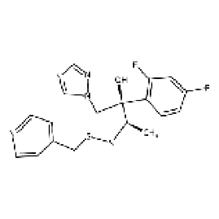 C[C@@H](SSCc1ccncc1)[C@](O)(Cn1cncn1)c1ccc(F)cc1F